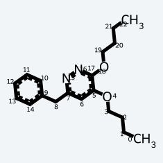 CCCCOc1cc(Cc2ccccc2)nnc1OCCCC